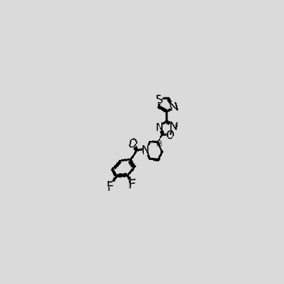 O=C(c1ccc(F)c(F)c1)N1CCC[C@H](c2nc(-c3cscn3)no2)C1